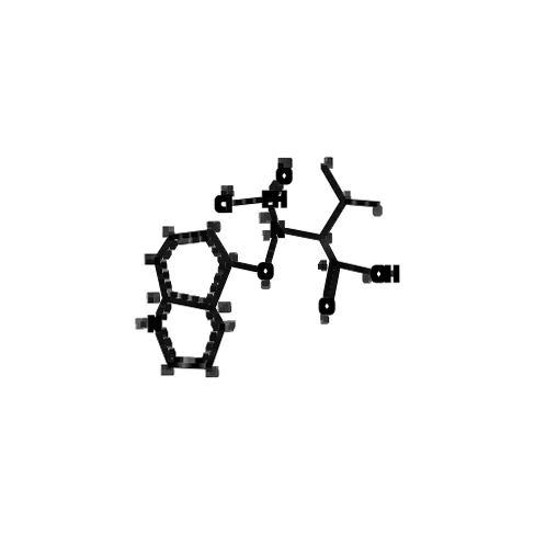 CC(C)C(C(=O)O)N(Oc1cccc2ncccc12)[PH](=O)Cl